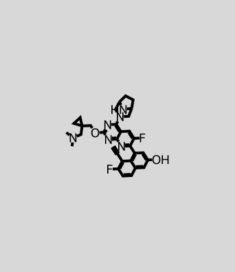 C#Cc1c(F)ccc2cc(O)cc(-c3nc4nc(OCC5(CN(C)C)CC5)nc(N5CC6CCC(C5)N6)c4cc3F)c12